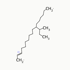 [CH2]/C=C/CCCCCCCC(CCCCC[CH2])C(C)CC